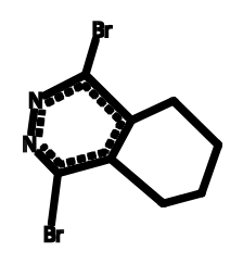 Brc1nnc(Br)c2c1CCCC2